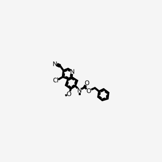 COc1cc2c(Cl)c(C#N)cnc2cc1N(C)C(=O)OCc1ccccc1